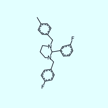 Cc1ccc(CN2CCCN(Cc3ccc(F)cc3)C2c2cccc(F)c2)cc1